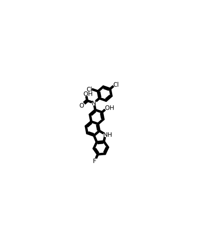 O=C(O)N(c1cc2ccc3c4cc(F)ccc4[nH]c3c2cc1O)c1ccc(Cl)cc1Cl